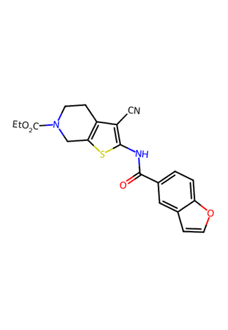 CCOC(=O)N1CCc2c(sc(NC(=O)c3ccc4occc4c3)c2C#N)C1